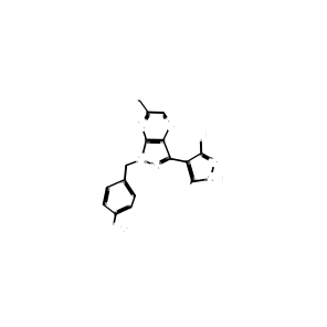 COc1ccc(Cn2nc(-c3c(C)n[nH]c3C)c3ncc(Cl)nc32)cc1